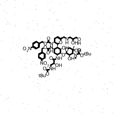 CN(C(=O)OC(C)(C)C)[C@@H]1[C@@H](O)[C@@H](O[C@@H]2[C@@H](O)[C@H](C3OC(CNCC(O)CO)=CC[C@H]3NC(=O)OCc3ccc([N+](=O)[O-])cc3)[C@@H](NC(=O)OCc3ccc([N+](=O)[O-])cc3)C[C@H]2NC(=O)[C@@H](O)CNC(=O)OC(C)(C)C)OC[C@]1(C)O